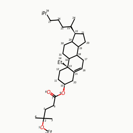 CCOC(C)(C)CCC(=O)O[C@H]1CC[C@@]2(CC)C(=CCC3C4CC[C@H](C(C)CCCC(C)C)C4CCC32)C1